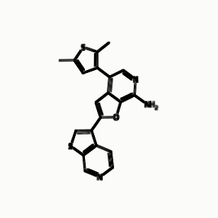 Cc1cc(-c2cnc(N)c3oc(-c4csc5cnccc45)cc23)c(C)s1